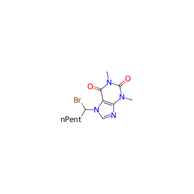 CCCCCC(Br)n1cnc2c1c(=O)n(C)c(=O)n2C